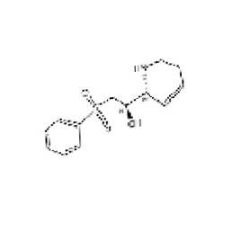 O=S(=O)(C[C@H](O)[C@H]1C=CCCN1)c1ccccc1